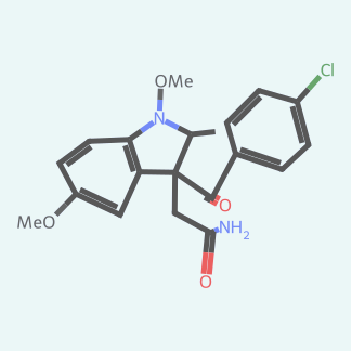 COc1ccc2c(c1)C(CC(N)=O)(C(=O)c1ccc(Cl)cc1)C(C)N2OC